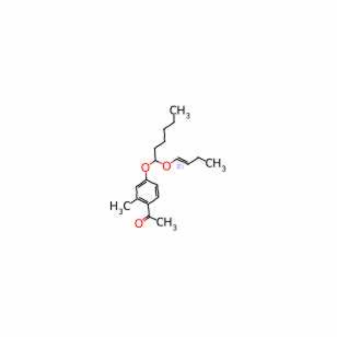 CC/C=C/OC(CCCCC)Oc1ccc(C(C)=O)c(C)c1